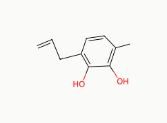 C=CCc1ccc(C)c(O)c1O